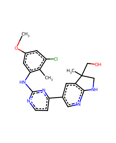 COc1cc(Cl)c(C)c(Nc2nccc(-c3cnc4c(c3)C(C)(CO)CN4)n2)c1